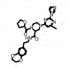 Cc1cc(N2CCN(C(=O)C3CCCO3)C(C(=O)NCCc3ccc4c(c3)OCCO4)C2)nc(-n2ccnc2)n1